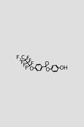 O=C(Oc1ccc(O)cc1)c1ccc(OC(F)(F)C(F)(F)C(F)(F)C(F)(F)F)cc1